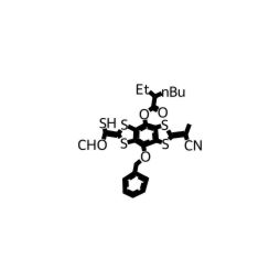 CCCCC(CC)C(=O)Oc1c2c(c(OCc3ccccc3)c3c1S/C(=C(\C)C#N)S3)S/C(=C(/S)C=O)S2